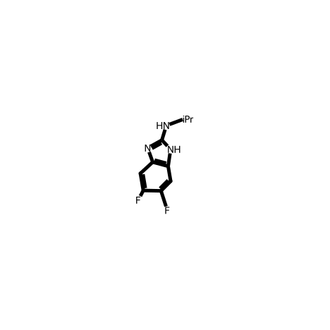 CC(C)Nc1nc2cc(F)c(F)cc2[nH]1